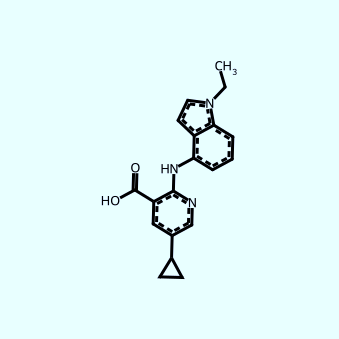 CCn1ccc2c(Nc3ncc(C4CC4)cc3C(=O)O)cccc21